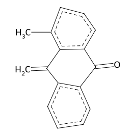 C=C1c2ccccc2C(=O)c2cccc(C)c21